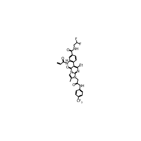 C=CC(=O)Nc1cc(C(=O)NCC(F)F)ccc1-c1c(CC)nc2n(CC(=O)Nc3ccc(C(F)(F)F)cc3)c(C)cn2c1=O